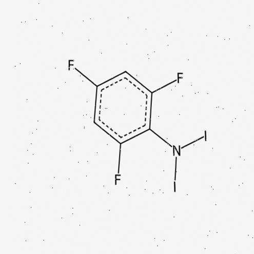 Fc1cc(F)c(N(I)I)c(F)c1